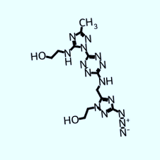 Cc1nc(NCCO)n(-c2nnc(NCc3nc(N=[N+]=[N-])nn3CCO)nn2)n1